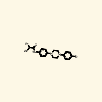 CCC(C(C)=O)C(=O)Nc1ccc(N2CCN(c3ccc(Br)cc3)CC2)cc1